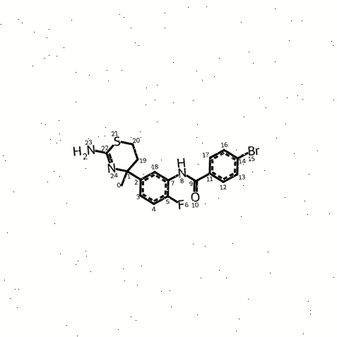 CC1(c2ccc(F)c(NC(=O)c3ccc(Br)cc3)c2)CCSC(N)=N1